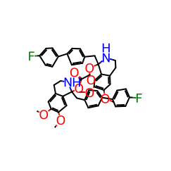 COc1cc2c(cc1OC)C(Cc1ccc(-c3ccc(F)cc3)cc1)(OC(=O)C(=O)OC1(Cc3ccc(-c4ccc(F)cc4)cc3)NCCc3cc(OC)c(OC)cc31)NCC2